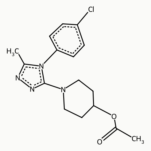 CC(=O)OC1CCN(c2nnc(C)n2-c2ccc(Cl)cc2)CC1